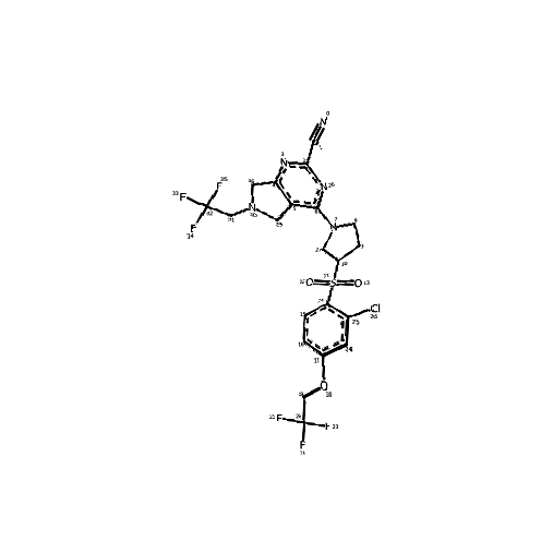 N#Cc1nc2c(c(N3CCC(S(=O)(=O)c4ccc(OCC(F)(F)F)cc4Cl)C3)n1)CN(CC(F)(F)F)C2